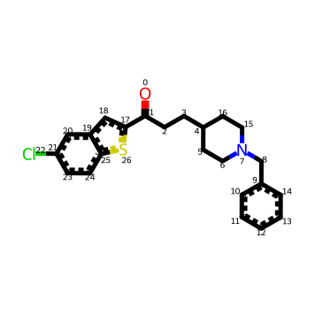 O=C(CCC1CCN(Cc2ccccc2)CC1)c1cc2cc(Cl)ccc2s1